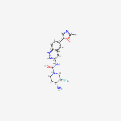 Cc1ncc(-c2ccc3nnc(NC(=O)N4CC[C@@H](N)[C@H](F)C4)cc3c2)o1